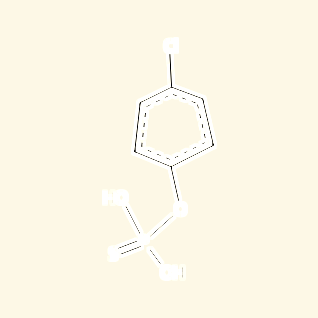 OP(O)(=S)Oc1ccc(Cl)cc1